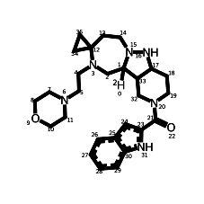 [2H]C12CN(CCN3CCOCC3)C3(CCN1NC1CCN(C(=O)c4cc5ccccc5[nH]4)CC12)CC3